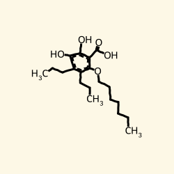 CCCCCCCOc1c(CCC)c(CCC)c(O)c(O)c1C(=O)O